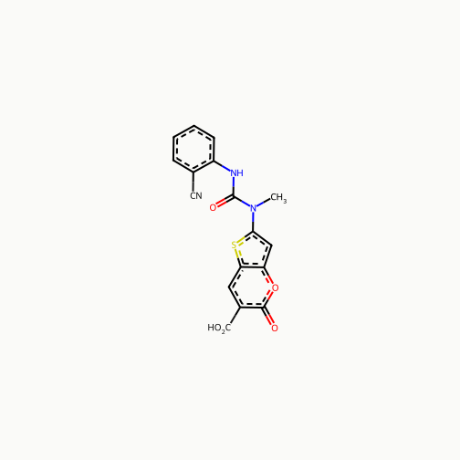 CN(C(=O)Nc1ccccc1C#N)c1cc2oc(=O)c(C(=O)O)cc2s1